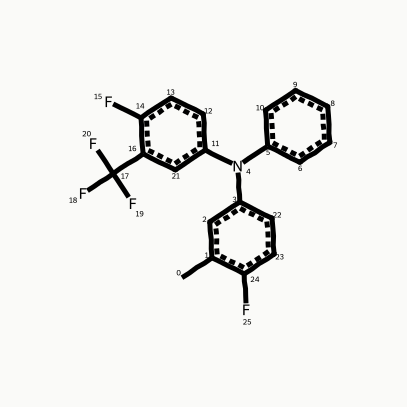 Cc1cc(N(c2ccccc2)c2ccc(F)c(C(F)(F)F)c2)ccc1F